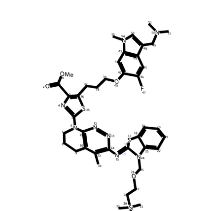 COC(=O)c1nc(N2CCCc3c2nnc(/N=c2\sc4ccccc4n2COCC[Si](C)(C)C)c3C)sc1CCCOc1cc2c(cc1F)c(CN(C)C)cn2C